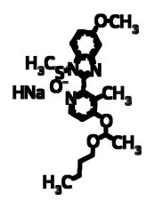 CCCCOC(C)Oc1ccnc(-c2nc3cc(OC)ccc3n2[S+](C)[O-])c1C.[NaH]